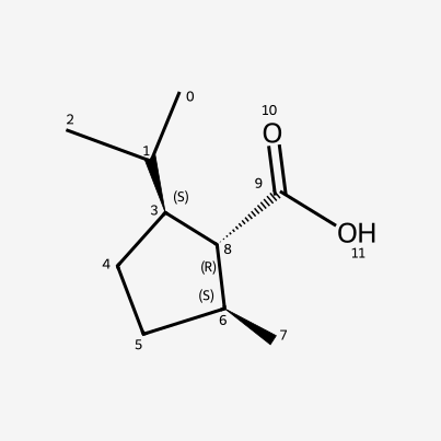 CC(C)[C@@H]1CC[C@H](C)[C@H]1C(=O)O